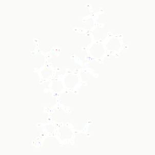 C=C(/C=C\c1nc(NC(=O)N2C[C@@]3(CCN(C(O)OC)C3)C3CC(S(=O)(=O)N(CCC(=O)OC(C)(C)C)CC4=CCCC=C4)C=CC32)sc1N)OC